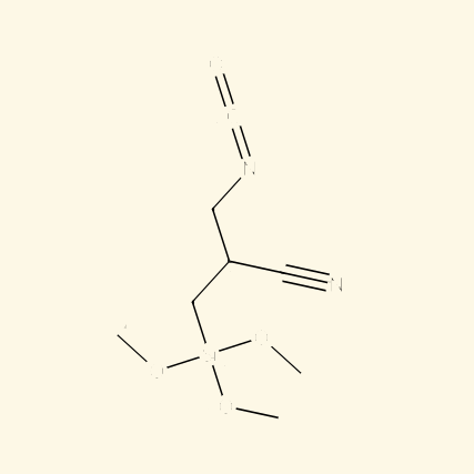 CO[Si](CC(C#N)CN=C=O)(OC)OC